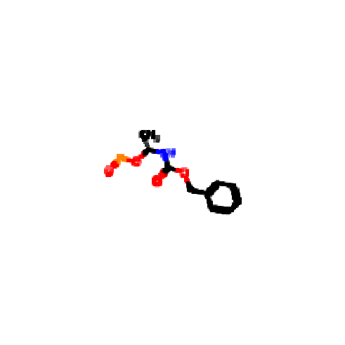 C[C@H](NC(=O)OCc1ccccc1)OP=O